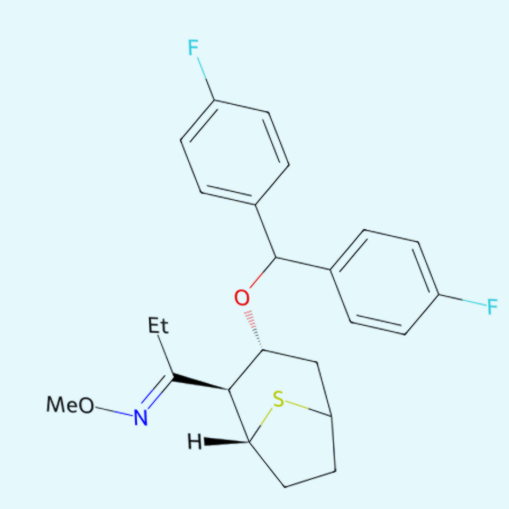 CCC(=NOC)[C@H]1[C@H](OC(c2ccc(F)cc2)c2ccc(F)cc2)CC2CC[C@H]1S2